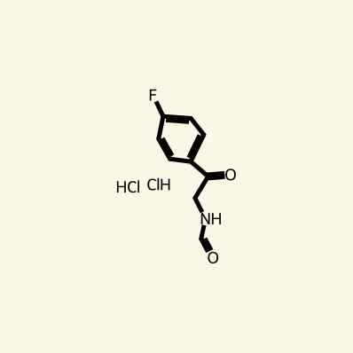 Cl.Cl.O=CNCC(=O)c1ccc(F)cc1